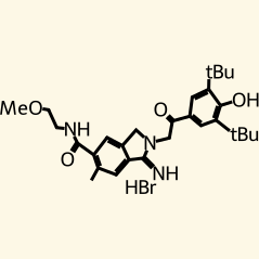 Br.COCCNC(=O)c1cc2c(cc1C)C(=N)N(CC(=O)c1cc(C(C)(C)C)c(O)c(C(C)(C)C)c1)C2